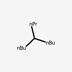 [CH2]CCCC(CC[CH2])CCCC